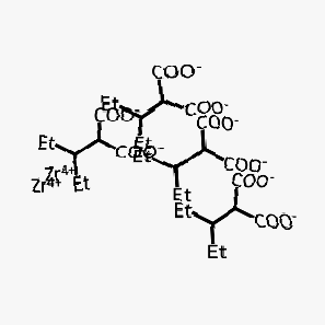 CCC(CC)C(C(=O)[O-])C(=O)[O-].CCC(CC)C(C(=O)[O-])C(=O)[O-].CCC(CC)C(C(=O)[O-])C(=O)[O-].CCC(CC)C(C(=O)[O-])C(=O)[O-].[Zr+4].[Zr+4]